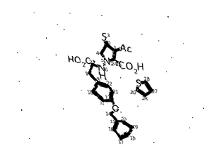 CC(=O)C1C(=S)CN(N[C@@H](Cc2ccc(OCc3ccccc3)cc2)C(=O)O)[C@@H]1C(=O)O.c1ccsc1